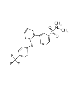 CN(C)S(=O)(=O)c1cccc(-c2ccccc2Sc2ccc(C(F)(F)F)cc2)c1